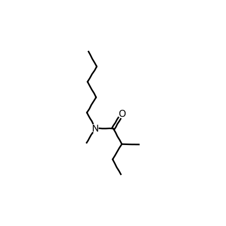 CCCCCN(C)C(=O)C(C)CC